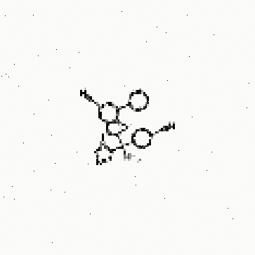 Cn1cncc1C(N)(c1ccc(C#N)cc1)c1cc2cc(C#N)cc(-c3ccccc3)c2o1